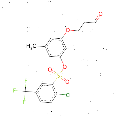 Cc1cc(OCCC=O)cc(OS(=O)(=O)c2cc(C(F)(F)F)ccc2Cl)c1